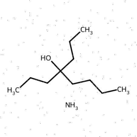 CCCCC(O)(CCC)CCC.N